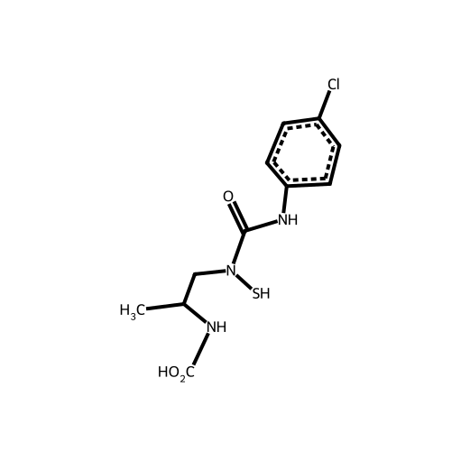 CC(CN(S)C(=O)Nc1ccc(Cl)cc1)NC(=O)O